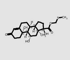 CSCOC(=O)[C@@]1(O)CC[C@H]2[C@@H]3CCC4=CC(=O)CC[C@]4(C)[C@H]3[C@@H](O)C[C@@]21C